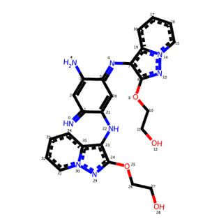 N=C1C=C(N)C(=Nc2c(OCCO)nn3ccccc23)C=C1Nc1c(OCCO)nn2ccccc12